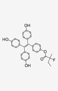 CCC(C)(F)C(=O)Oc1ccc(C(=C(c2ccc(O)cc2)c2ccc(O)cc2)c2ccc(O)cc2)cc1